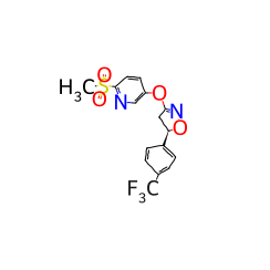 CS(=O)(=O)c1ccc(OC2=NO[C@@H](c3ccc(C(F)(F)F)cc3)C2)cn1